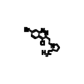 C[C@@H]1CCCN1CCc1nnc2cc(Br)ccc2c1Cl